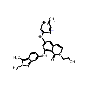 C=C/C=N\C(=C/N)Nc1cc2ccn(CCO)c(=O)c2c(Nc2ccc3c(C)n(C)nc3c2)n1